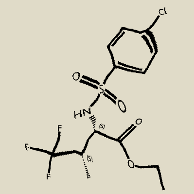 CCOC(=O)[C@@H](NS(=O)(=O)c1ccc(Cl)cc1)[C@H](C)C(F)(F)F